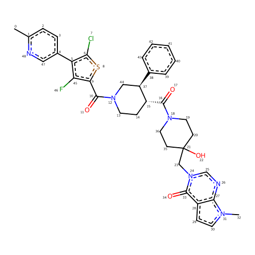 Cc1ccc(-c2c(Cl)sc(C(=O)N3CC[C@@H](C(=O)N4CCC(O)(Cn5cnc6c(ccn6C)c5=O)CC4)[C@H](c4ccccc4)C3)c2F)cn1